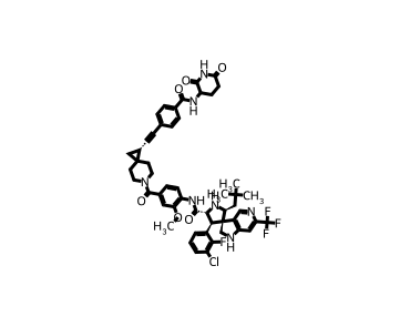 COc1cc(C(=O)N2CCC3(CC2)C[C@@H]3C#Cc2ccc(C(=O)NC3CCC(=O)NC3=O)cc2)ccc1NC(=O)[C@@H]1N[C@@H](CC(C)(C)C)[C@@]2(CNc3cc(C(F)(F)F)ncc32)[C@H]1c1cccc(Cl)c1F